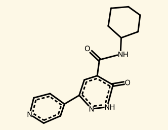 O=C(NC1CCCCC1)c1cc(-c2ccncc2)n[nH]c1=O